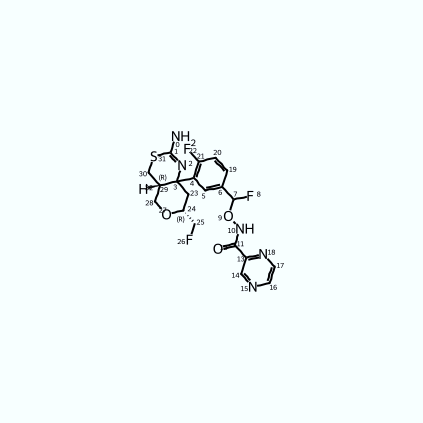 NC1=NC2(c3cc(C(F)ONC(=O)c4cnccn4)ccc3F)C[C@H](CF)OC[C@@H]2CS1